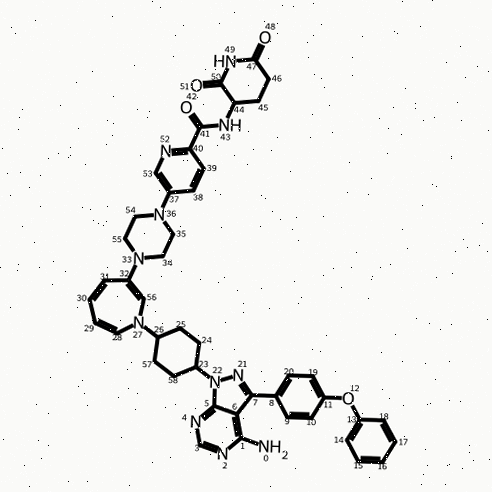 Nc1ncnc2c1c(-c1ccc(Oc3ccccc3)cc1)nn2C1CCC(N2C=CC=CC(N3CCN(c4ccc(C(=O)NC5CCC(=O)NC5=O)nc4)CC3)=C2)CC1